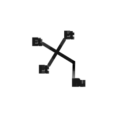 [CH2]CC(CC)(CC)CC(C)CC